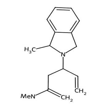 C=CC(CC(=C)NC)N1Cc2ccccc2C1C